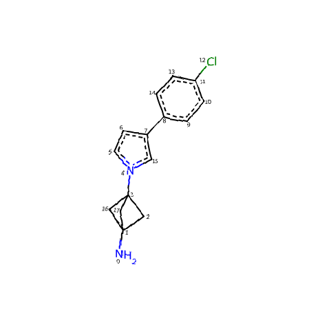 NC12CC(n3ccc(-c4ccc(Cl)cc4)c3)(C1)C2